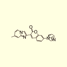 Cc1ccn2cc(-c3cc4ccc(N5CCN6CCC5CC6)cc4oc3=O)nc2c1